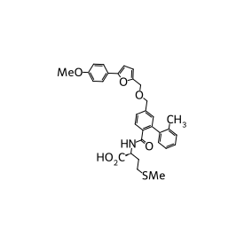 COc1ccc(-c2ccc(COCc3ccc(C(=O)N[C@@H](CCSC)C(=O)O)c(-c4ccccc4C)c3)o2)cc1